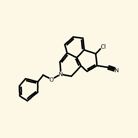 N#CC1=CC2=c3c(cccc3=CN(OCc3ccccc3)C2)C1Cl